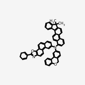 CC1(C)c2ccccc2-c2c1ccc1c2ccc2c(N(c3ccc4c(c3)-c3ccccc3OC4)c3ccc4ccc5c(ccc6nc(C7=CCCC=C7)oc65)c4c3)cccc21